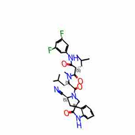 CC(C)C[C@@H](C(=O)Nc1cc(F)cc(F)c1)C(=O)N(C)[C@@H](CC(C)C)C(=O)N1C[C@]2(C[C@H]1C#N)C(=O)Nc1ccccc12